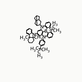 CC(C)(C)c1ccc(N2c3cc(N4c5ccccc5C5(C)CCCCC45C)cc4c3B3c5c2cccc5[Si](C)(C)c2cccc(c23)N4C2CC3CC4CC3CC42)cc1